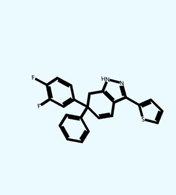 Fc1ccc(C2(c3ccccc3)C=Cc3c(-c4cccs4)n[nH]c3C2)cc1F